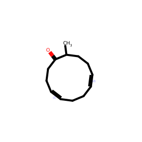 CC1CC/C=C\CC/C=C\CCC1=O